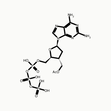 CC(=O)OC[C@H]1C[C@H](n2cnc3c(N)nc(N)nc32)O[C@@H]1COP(=O)(O)OP(=O)(O)OP(=O)(O)O